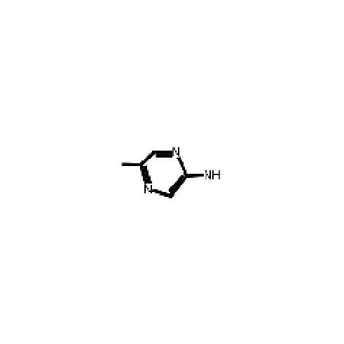 Cc1cnc([NH])cn1